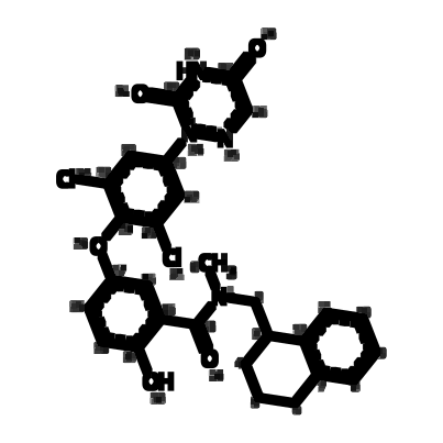 CN(CC1CCCc2ccccc21)C(=O)c1cc(Oc2c(Cl)cc(-n3ncc(=O)[nH]c3=O)cc2Cl)ccc1O